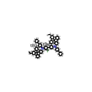 C=Cc1ccc(C2(c3ccc(C(C)(C)C)cc3)c3ccccc3-c3ccc(N(c4ccc(-c5ccccc5)cc4)c4ccc(-c5ccc(N(c6ccc(-c7ccccc7)cc6)c6ccc7c(c6)C(c6ccc(C=C)cc6)(c6ccc(C(C)(C)C)cc6)c6ccccc6-7)cc5F)cc4)cc32)cc1